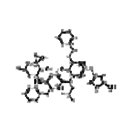 CC(C)CC(NC(=O)C(CCc1ccccc1)NC(=O)Cc1cc(O)on1)C(=O)NC(Cc1ccccc1)C(=O)NC(CC(C)C)C(=O)C1(C)CO1